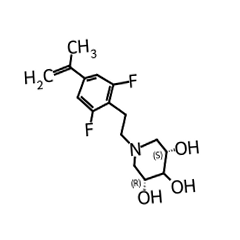 C=C(C)c1cc(F)c(CCN2C[C@@H](O)C(O)[C@@H](O)C2)c(F)c1